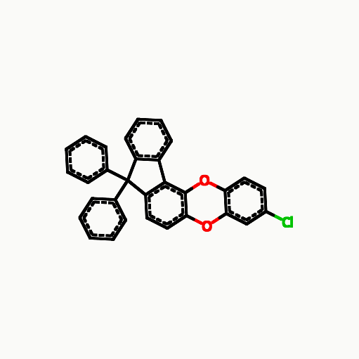 Clc1ccc2c(c1)Oc1ccc3c(c1O2)-c1ccccc1C3(c1ccccc1)c1ccccc1